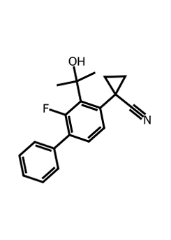 CC(C)(O)c1c(C2(C#N)CC2)ccc(-c2ccccc2)c1F